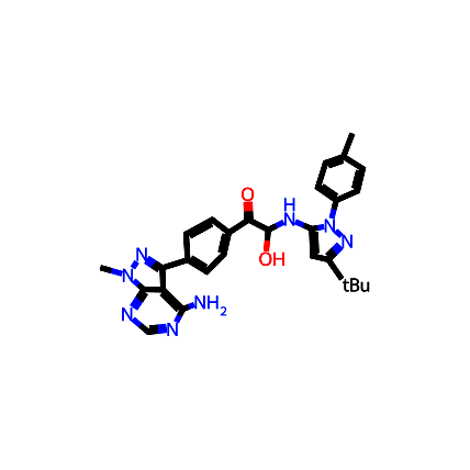 Cc1ccc(-n2nc(C(C)(C)C)cc2NC(O)C(=O)c2ccc(-c3nn(C)c4ncnc(N)c34)cc2)cc1